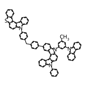 Cc1cc(-n2c3ccccc3c3ccccc32)cc(-n2c3ccc(-c4ccc(Cc5ccc(-n6c7ccccc7c7c8c(ccc76)sc6ccccc68)cc5)cc4)cc3c3c4c5ccccc5n(-c5ccccc5)c4ccc32)c1